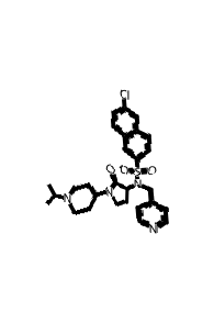 CC(C)N1CCC(N2CCC(N(Cc3ccncc3)S(=O)(=O)c3ccc4cc(Cl)ccc4c3)C2=O)CC1